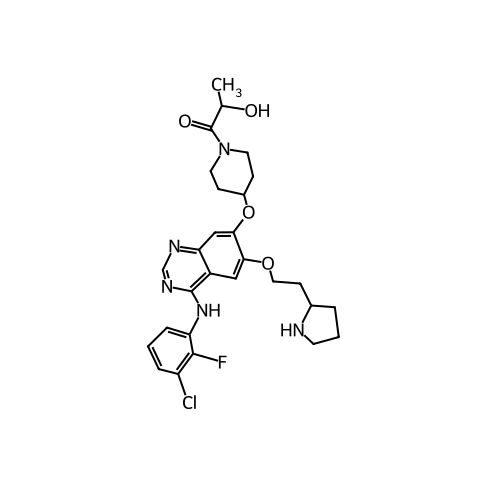 CC(O)C(=O)N1CCC(Oc2cc3ncnc(Nc4cccc(Cl)c4F)c3cc2OCCC2CCCN2)CC1